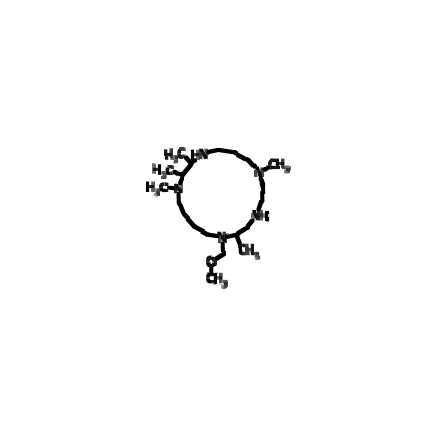 COCN1CCCCN(C)C(C)C(C)NCCCN(C)CCNCC1C